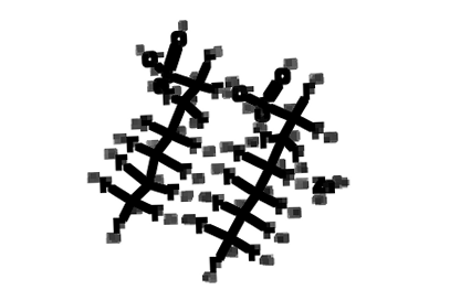 O=S(=O)([O-])C(F)(F)C(F)(F)C(F)(F)C(F)(F)C(F)(F)C(F)(F)F.O=S(=O)([O-])C(F)(F)C(F)(F)C(F)(F)C(F)(F)C(F)(F)C(F)(F)F.[Zn+2]